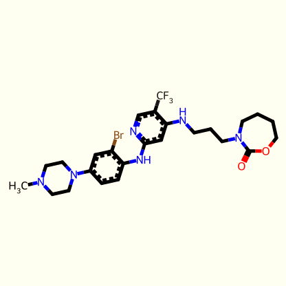 CN1CCN(c2ccc(Nc3cc(NCCCN4CCCCOC4=O)c(C(F)(F)F)cn3)c(Br)c2)CC1